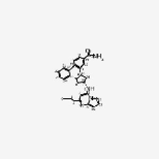 CCCc1cc(N[C@@H]2CC[C@@H](c3cc(C(N)=O)ccc3-c3ccccc3)C2)n2nccc2n1